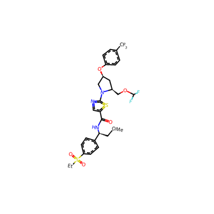 CCS(=O)(=O)c1ccc([C@H](COC)NC(=O)c2cnc(N3C[C@@H](Oc4ccc(C(F)(F)F)cc4)C[C@H]3COC(F)F)s2)cc1